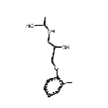 Cc1ccccc1OCC(O)CNC(C)O